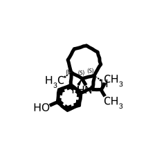 CC(C)N[C@H]1[C@H]2CCCCC[C@]1(C)c1cc(O)ccc1C2